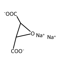 O=C([O-])C1OC1C(=O)[O-].[Na+].[Na+]